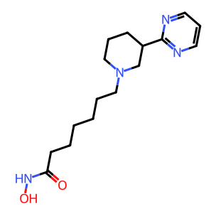 O=C(CCCCCCN1CCCC(c2ncccn2)C1)NO